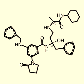 C[C@H](NCC[C@@](O)(Cc1ccccc1)NC(=O)c1cc(NCc2ccccc2)cc(N2CCCC2=O)c1)C(=O)NC1CCCCC1